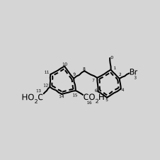 Cc1c(Br)cccc1Cc1ccc(C(=O)O)cc1C(=O)O